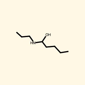 CCCCC(O)NCCC